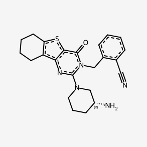 N#Cc1ccccc1Cn1c(N2CCC[C@@H](N)C2)nc2c3c(sc2c1=O)CCCC3